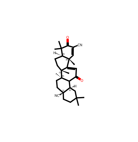 CC1(C)CC[C@]2(C#N)CC[C@]3(C)C(C(=O)C=C4[C@@]5(C)C=C(C#N)C(=O)C(C)(C)[C@@H]5CC[C@]43C)[C@H]2C1